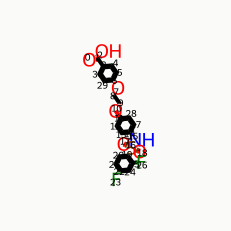 O=C(O)c1ccc(OCCOc2ccc(NS(=O)(=O)c3ccc(F)cc3F)cc2)cc1